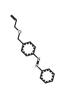 C=CCOCc1ccc(N=Nc2ccccc2)cc1